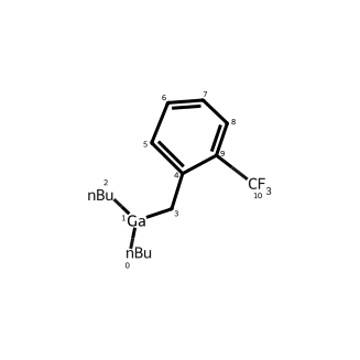 CCC[CH2][Ga]([CH2]CCC)[CH2]c1ccccc1C(F)(F)F